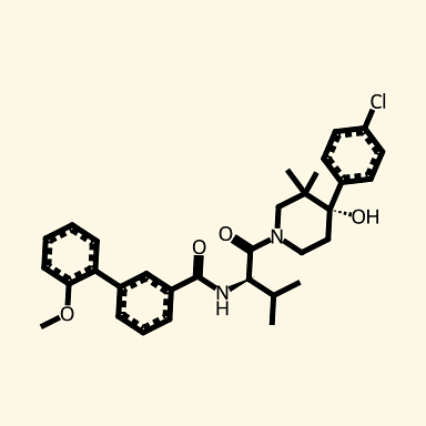 COc1ccccc1-c1cccc(C(=O)N[C@@H](C(=O)N2CC[C@](O)(c3ccc(Cl)cc3)C(C)(C)C2)C(C)C)c1